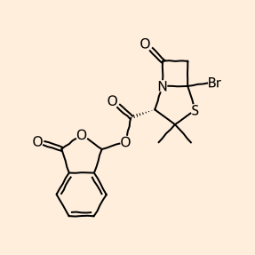 CC1(C)SC2(Br)CC(=O)N2[C@H]1C(=O)OC1OC(=O)c2ccccc21